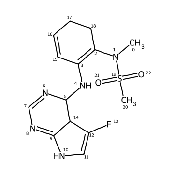 CN(C1=C(NC2N=CN=C3NC=C(F)C32)C=CCC1)S(C)(=O)=O